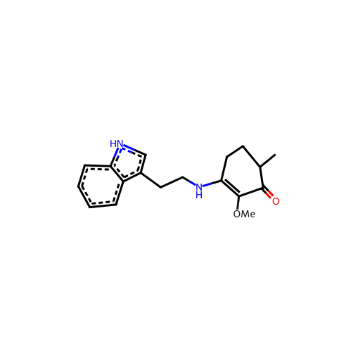 COC1=C(NCCc2c[nH]c3ccccc23)CCC(C)C1=O